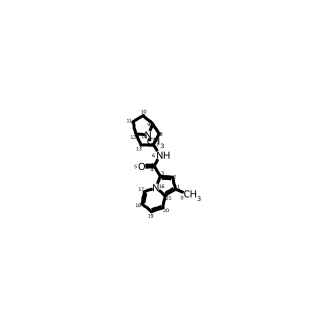 Cc1cc(C(=O)NC2CC3CCC(C2)N3C)n2ccccc12